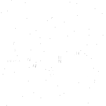 CCCCCN1N=C(C(=O)NCC(C)c2ccccc2)CC1c1ccccc1F